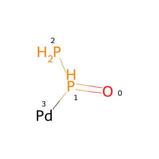 O=[PH](P)[Pd]